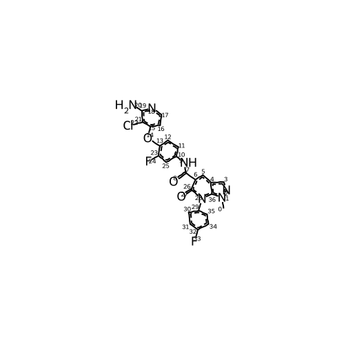 Cn1ncc2cc(C(=O)Nc3ccc(Oc4ccnc(N)c4Cl)c(F)c3)c(=O)n(-c3ccc(F)cc3)c21